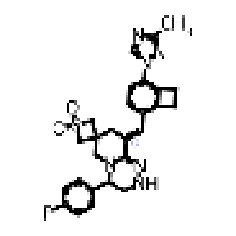 Cc1ncn(-c2ccc(/C=C3\CC4(CN5C3=NNCC5c3ccc(F)cc3)CS(=O)(=O)C4)c3c2CC3)n1